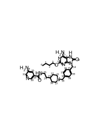 CCCCOc1nc(N)c2[nH]c(=O)n(Cc3ccc(CN4CCC(CCNC(=O)c5cncc(N)c5)CC4)cc3)c2n1